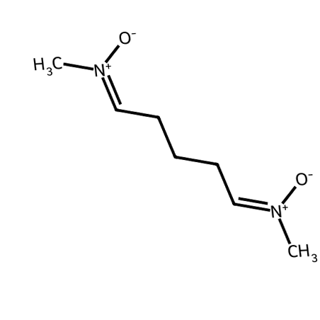 C/[N+]([O-])=C/CCC/C=[N+](/C)[O-]